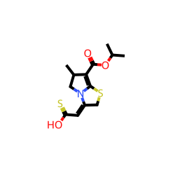 CC(C)OC(=O)C1=C2SCC(=CC(O)=S)N2CC1C